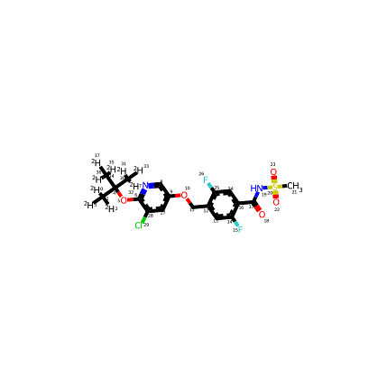 [2H]C([2H])([2H])C(Oc1ncc(OCc2cc(F)c(C(=O)NS(C)(=O)=O)cc2F)cc1Cl)(C([2H])([2H])[2H])C([2H])([2H])[2H]